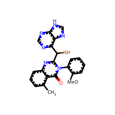 COc1ccccc1-n1c(C(S)c2ncnc3[nH]cnc23)nc2cccc(C)c2c1=O